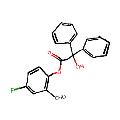 O=Cc1cc(F)ccc1OC(=O)C(O)(c1ccccc1)c1ccccc1